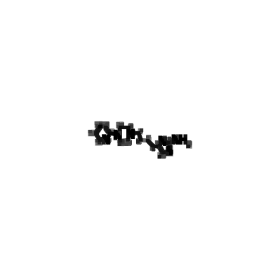 Nc1nc(CCCCN2CCN(c3ccccn3)CC2)cs1